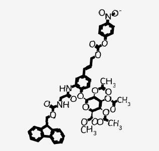 COC(=O)[C@H]1O[C@@H](Oc2ccc(/C=C/COC(=O)Oc3ccc([N+](=O)[O-])cc3)cc2NC(=O)CNC(=O)OCC2c3ccccc3-c3ccccc32)[C@H](OC(C)=O)[C@@H](OC(C)=O)[C@@H]1OC(C)=O